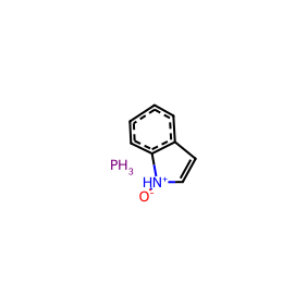 P.[O-][NH+]1C=Cc2ccccc21